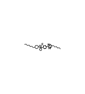 CCCCCCCC1CCC(OC(=O)c2ccc(-c3ncc(CCCCCC)cn3)cc2F)CC1